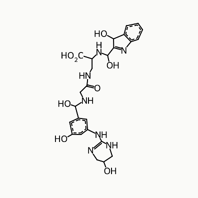 O=C(CNC(O)c1cc(O)cc(NC2=NCC(O)CN2)c1)NCC(NC(O)C1=Nc2ccccc2C1O)C(=O)O